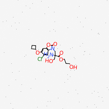 NC(CO)(Cn1c(=O)oc2cc(OC3CCC3)c(Cl)cc21)C(=O)OCCCO